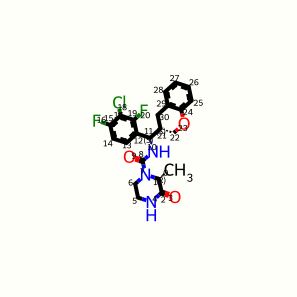 C[C@@H]1C(=O)NCCN1C(=O)N[C@H](c1ccc(F)c(Cl)c1F)[C@H]1COc2ccccc2C1